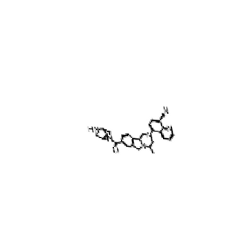 CC1CN(c2ccc(C#N)c3ncccc23)CC2c3ccc(C(=O)N4CC5CC4CN5)cc3CN12